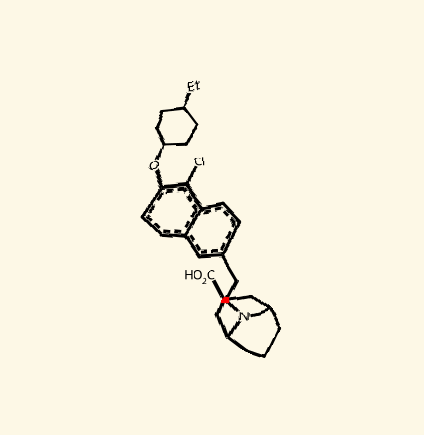 CC[C@H]1CC[C@@H](Oc2ccc3cc(CCN4C5CCCC4CC(C(=O)O)C5)ccc3c2Cl)CC1